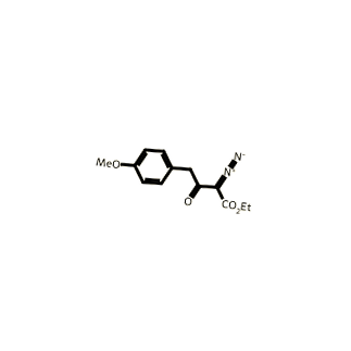 CCOC(=O)C(=[N+]=[N-])C(=O)Cc1ccc(OC)cc1